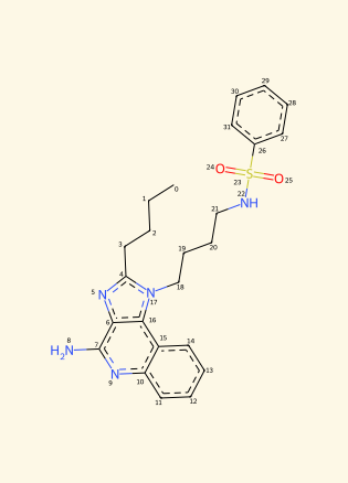 CCCCc1nc2c(N)nc3ccccc3c2n1CCCCNS(=O)(=O)c1ccccc1